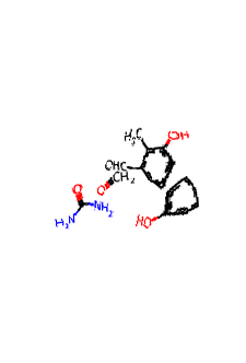 C=O.Cc1c(O)cccc1C=O.NC(N)=O.Oc1ccccc1